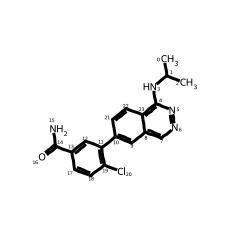 CC(C)Nc1nncc2cc(-c3cc(C(N)=O)ccc3Cl)ccc12